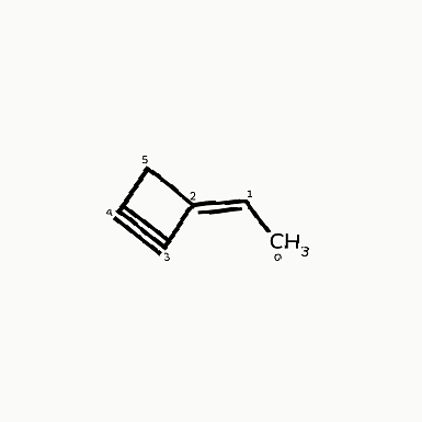 CC=C1C#CC1